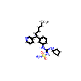 NS(=O)(=O)/N=C(\Nc1cccc(/C(=C\CCCC(=O)O)c2cccnc2)c1)NC1CCCC1